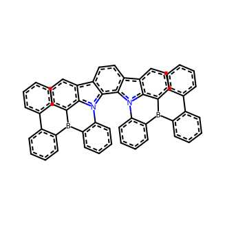 c1ccc(-c2ccccc2B2c3ccccc3-n3c4c2cccc4c2ccc4c5cccc6c5n(c4c23)-c2ccccc2B6c2ccccc2-c2ccccc2)cc1